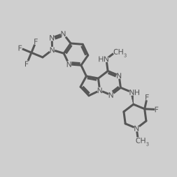 CNc1nc(N[C@@H]2CCN(C)CC2(F)F)nn2ccc(-c3ccc4nnn(CC(F)(F)F)c4n3)c12